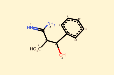 N=C(N)C(C(=O)O)C(O)c1ccccc1